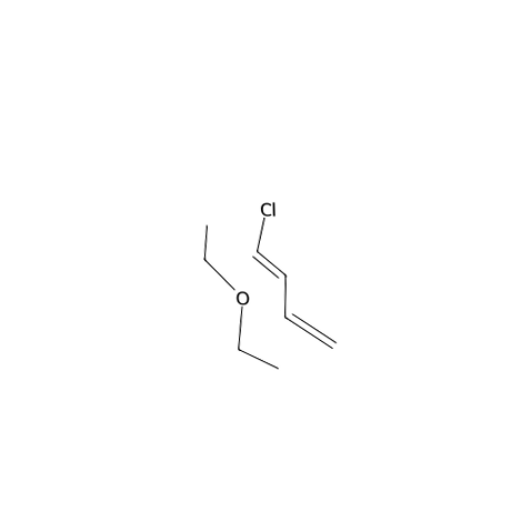 C=CC=CCl.CCOCC